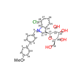 COc1ccc(-c2ccc(Cn3cc([C@@H]4O[C@H](CO)[C@@H](O)[C@H](O)[C@H]4O)c4cccc(Cl)c43)cc2)cc1